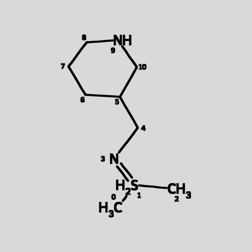 C[SH2](C)=NCC1CCCNC1